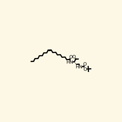 CCCCCCCC/C=C\CCCCCCCC(=O)N[C@@H](CCNC(=O)OC(C)(C)C)C(C)=O